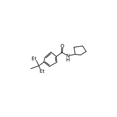 CCC(C)(CC)c1ccc(C(=O)NC2CCCC2)cc1